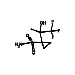 CC(O)(C(F)(F)F)C1(S(N)(=O)=O)CC1